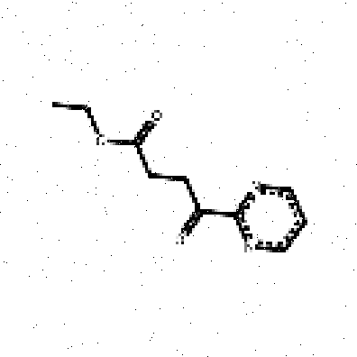 CCOC(=O)CCC(=O)c1ncccn1